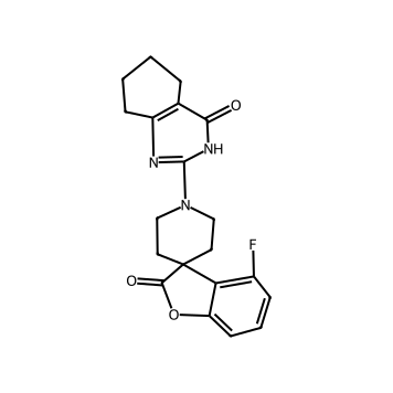 O=C1Oc2cccc(F)c2C12CCN(c1nc3c(c(=O)[nH]1)CCCC3)CC2